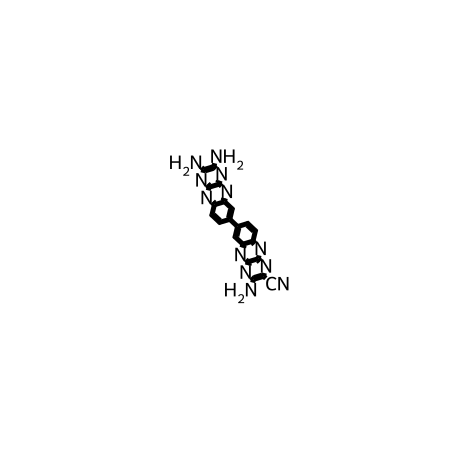 N#Cc1nc2nc3ccc(-c4ccc5nc6nc(N)c(N)nc6nc5c4)cc3nc2nc1N